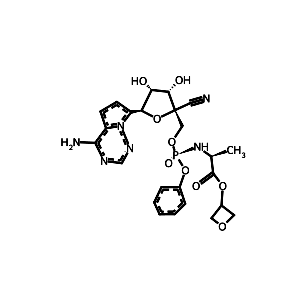 C[C@H](N[P@@](=O)(OC[C@@]1(C#N)O[C@@H](c2ccc3c(N)ncnn23)[C@H](O)[C@@H]1O)Oc1ccccc1)C(=O)OC1COC1